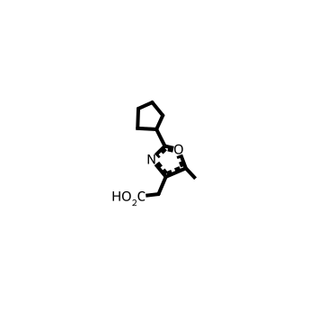 Cc1oc(C2CCCC2)nc1CC(=O)O